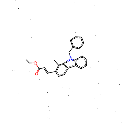 CCOC(=O)C=Cc1ccc2c3ccccc3n(Cc3ccccc3)c2c1C